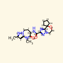 Cc1cc2n(n1)CC[C@H](NC(=O)c1nc3n(n1)CCOC31CCCC1)C(=O)N2C